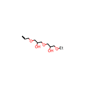 C=CCOCC(O)COCC(O)COCC